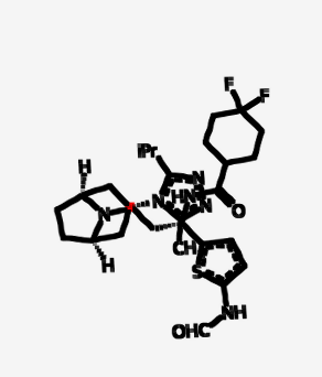 Cc1nnc(C(C)C)n1[C@@H]1C[C@H]2CC[C@@H](C1)N2CC[C@H](NC(=O)C1CCC(F)(F)CC1)c1ccc(NC=O)s1